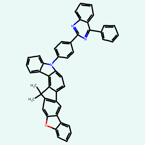 CC1(C)c2cc3oc4ccccc4c3cc2-c2ccc3c(c21)c1ccccc1n3-c1ccc(-c2nc(-c3ccccc3)c3ccccc3n2)cc1